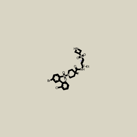 CC[C@@H](/C=C/S(=O)(=O)C1CNC1)NC(=O)C1(F)CCN(S(=O)(=O)c2ccc(Br)cc2-c2ccccc2Cl)CC1